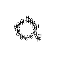 CC[C@H](C)[C@@H]1NC(=O)[C@H](C)N(C)C(=O)C[C@@H](C)NC(=O)[C@H](C2CCCC2)N(C)C(=O)C2(CCCC2)NC(=O)[C@@H]2CCCN2C(=O)[C@H](CCc2ccc(C(F)(F)F)c(Cl)c2)NC(=O)[C@@H](C)N(C)C(=O)[C@H](CC)N(C)C(=O)CN(C)C(=O)CN(C)C1=O